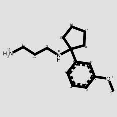 COc1cccc(C2(NCCCN)CCCC2)c1